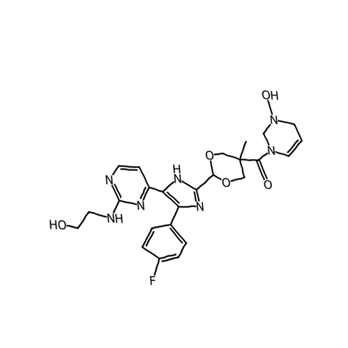 CC1(C(=O)N2C=CCN(O)C2)COC(c2nc(-c3ccc(F)cc3)c(-c3ccnc(NCCO)n3)[nH]2)OC1